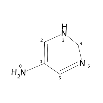 NC1=CNCN=C1